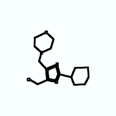 ClCc1oc(C2CCCCC2)nc1CN1CCOCC1